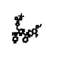 CCOc1cc(F)c(Cn2nc(-c3ncc(CC4CN(C(=O)OC(C)(C)C)C4)c(Nc4ccncc4)n3)c3ccccc32)c(F)c1